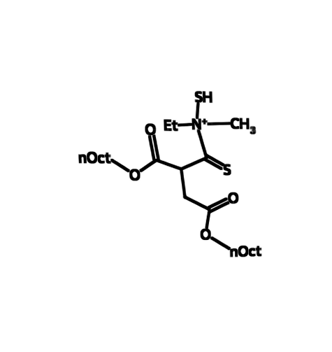 CCCCCCCCOC(=O)CC(C(=O)OCCCCCCCC)C(=S)[N+](C)(S)CC